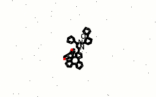 c1ccc(-c2cc(-c3ccc4c(c3)C3(c5ccccc5-c5ccccc5-4)c4ccccc4-c4ccccc43)nc(-c3cccc4c3oc3ccccc34)n2)cc1